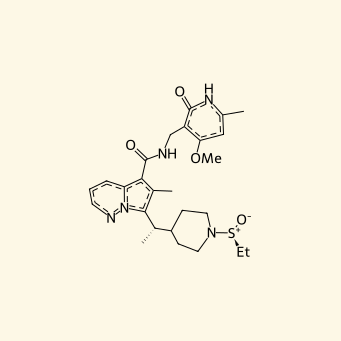 CC[S@+]([O-])N1CCC([C@H](C)c2c(C)c(C(=O)NCc3c(OC)cc(C)[nH]c3=O)c3cccnn23)CC1